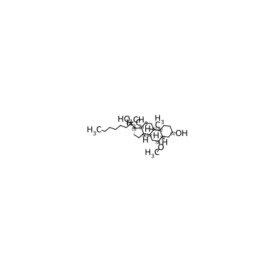 CCCCCC[C@](C)(O)[C@H]1CC[C@H]2[C@@H]3C[C@H](OC)[C@H]4C[C@@H](O)CC[C@]4(C)[C@H]3CC[C@@]21C